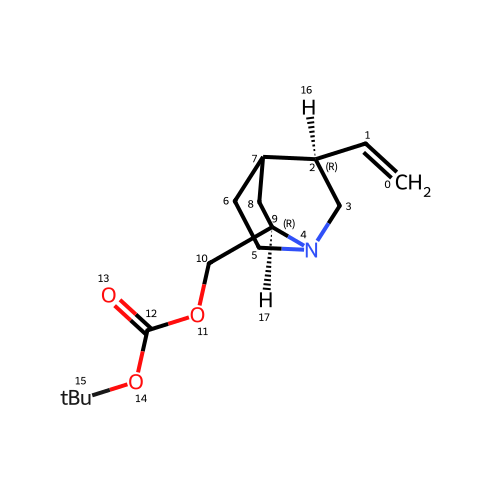 C=C[C@H]1CN2CCC1C[C@@H]2COC(=O)OC(C)(C)C